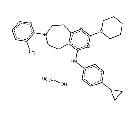 FC(F)(F)c1cccnc1N1CCc2nc(N3CCCCC3)nc(Nc3ccc(C4CC4)cc3)c2CC1.O=C(O)O